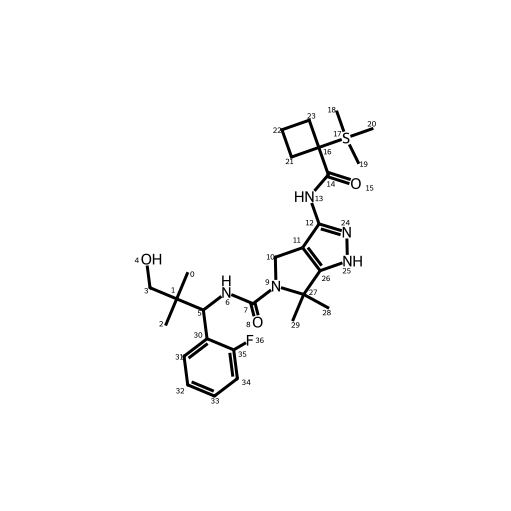 CC(C)(CO)C(NC(=O)N1Cc2c(NC(=O)C3(S(C)(C)C)CCC3)n[nH]c2C1(C)C)c1ccccc1F